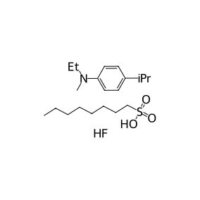 CCCCCCCCS(=O)(=O)O.CCN(C)c1ccc(C(C)C)cc1.F